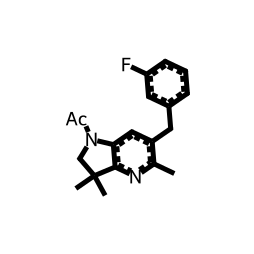 CC(=O)N1CC(C)(C)c2nc(C)c(Cc3cccc(F)c3)cc21